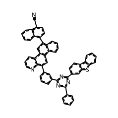 N#Cc1ccc(-c2cc3c4cccnc4c(-c4cccc(-c5nc(-c6ccccc6)nc(-c6ccc7c(c6)sc6ccccc67)n5)c4)cc3c3ccccc23)c2ccccc12